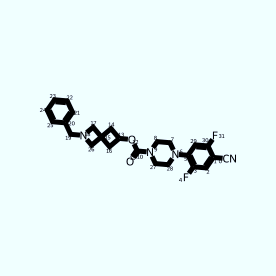 N#Cc1cc(F)c(N2CCN(C(=O)OC3CC4(C3)CN(Cc3ccccc3)C4)CC2)cc1F